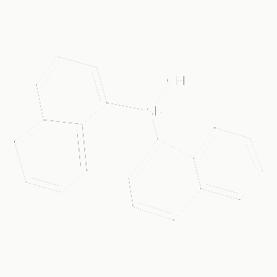 [CH3][Sb]([c]1cccc2ccccc12)[c]1cccc2ccccc12